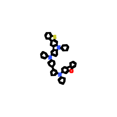 C1=CC(c2cccc(N(c3ccccc3)c3ccc4c(c3)oc3ccccc34)c2)CC=C1N(c1ccccc1)c1ccc2c(c1)c1cc3c(cc1n2-c1ccccc1)sc1ccccc13